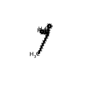 CCCCCCCCCCCCCCCCn1cc(CC(C)c2ccccc2)[n+](C)c1Cc1ccccc1